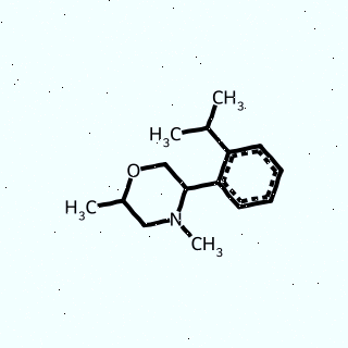 CC1CN(C)C(c2ccccc2C(C)C)CO1